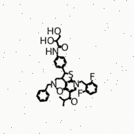 CC(C)C(=O)c1cn(Cc2c(F)cccc2F)c2c(c1=O)C(CN(C)Cc1ccccc1)C(c1ccc(NC(=O)C(O)CO)cc1)S2